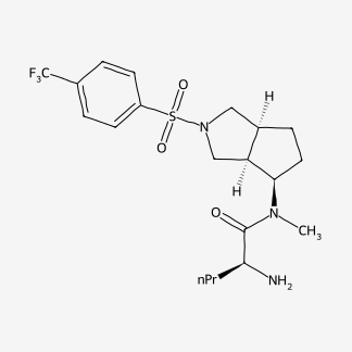 CCC[C@H](N)C(=O)N(C)[C@@H]1CC[C@@H]2CN(S(=O)(=O)c3ccc(C(F)(F)F)cc3)C[C@@H]21